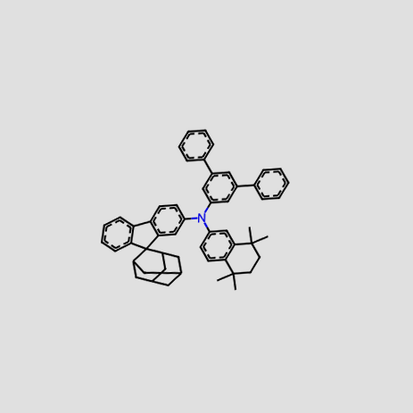 CC1(C)CCC(C)(C)c2cc(N(c3cc(-c4ccccc4)cc(-c4ccccc4)c3)c3ccc4c(c3)C3(c5ccccc5-4)C4CC5CC(C4)CC3C5)ccc21